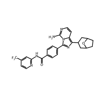 Nc1nccc2c(C3CC4CCC(C3)O4)nc(-c3ccc(C(=O)Nc4cc(C(F)(F)F)ccn4)cc3)n12